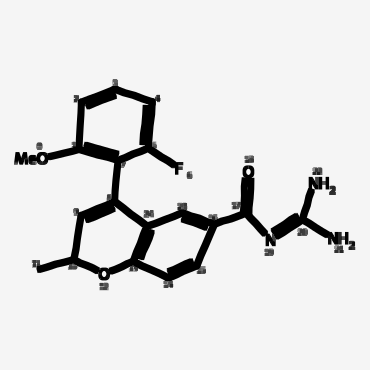 COc1cccc(F)c1C1=CC(C)Oc2ccc(C(=O)N=C(N)N)cc21